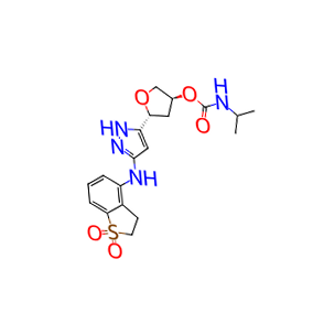 CC(C)NC(=O)O[C@@H]1CO[C@@H](c2cc(Nc3cccc4c3CCS4(=O)=O)n[nH]2)C1